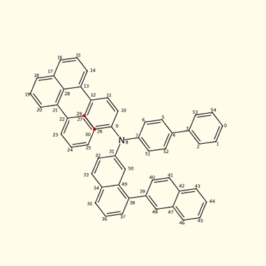 c1ccc(-c2ccc(N(c3ccc(-c4cccc5cccc(-c6ccccc6)c45)cc3)c3ccc4cccc(-c5ccc6ccccc6c5)c4c3)cc2)cc1